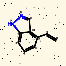 C=Cc1cccc2[nH]n[c]c12